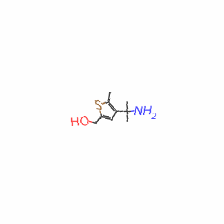 Cc1sc(CO)cc1C(C)(C)N